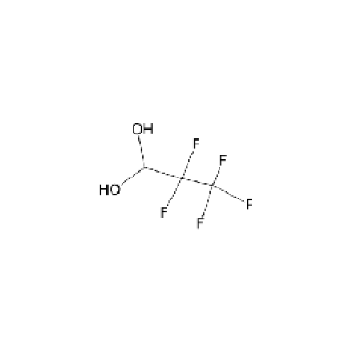 OC(O)C(F)(F)C(F)(F)F